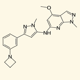 COc1cc(Nc2cc(-c3cccc(N4CCC4)c3)nn2C)nc2c1cnn2C